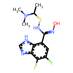 CC(SNC(=NO)c1cc(F)c(F)c2nc[nH]c12)N(C)C